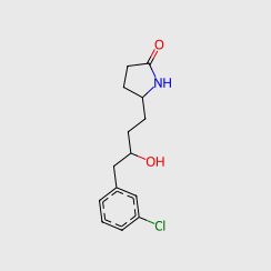 O=C1CCC(CCC(O)Cc2cccc(Cl)c2)N1